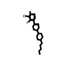 CCCCCC1CCC(C2CC=C(c3ccc(C)c(Cl)c3F)CC2)CC1